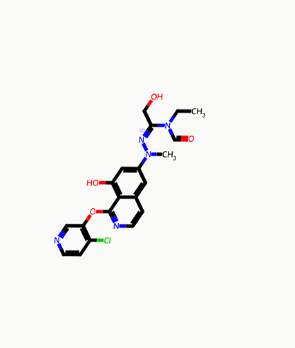 CCN(C=O)/C(CO)=N\N(C)c1cc(O)c2c(Oc3cnccc3Cl)nccc2c1